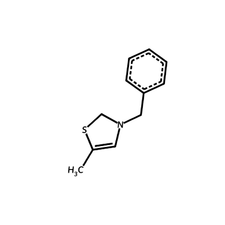 CC1=CN(Cc2ccccc2)CS1